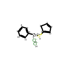 C1=CCC([S][Zr+2][c]2ccccc2)=C1.[Cl-].[Cl-]